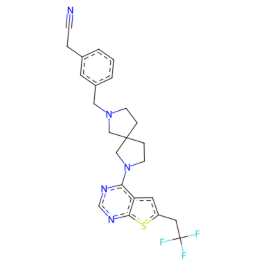 N#CCc1cccc(CN2CCC3(CCN(c4ncnc5sc(CC(F)(F)F)cc45)C3)C2)c1